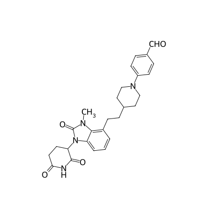 Cn1c(=O)n(C2CCC(=O)NC2=O)c2cccc(CCC3CCN(c4ccc(C=O)cc4)CC3)c21